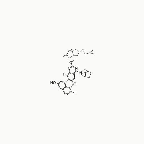 C#Cc1c(F)ccc2cc(O)cc(-c3ncc4c(N5CC6CCC(C5)N6)nc(OC[C@]56CC(=C)CN5C[C@H](OCC5CC5)C6)nc4c3F)c12